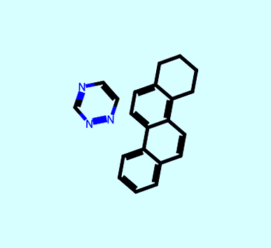 c1ccc2c(c1)ccc1c3c(ccc12)CCCC3.c1cnncn1